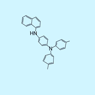 Cc1ccc(N(c2ccc(C)cc2)c2ccc(Nc3cccc4ccccc34)cc2)cc1